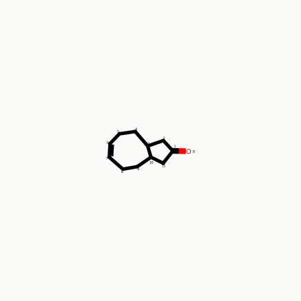 O=C1CC2CC/C=C\CCC2C1